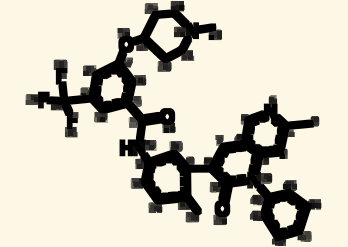 Cc1cc2c(cn1)cc(-c1cc(NC(=O)c3cc(OC4CCN(C)CC4)cc(C(F)(F)F)c3)ccc1C)c(=O)n2-c1ccccc1